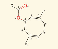 CC(=O)OC1C=C(C)CCC=C(C)C1